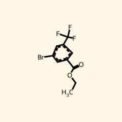 CCOC(=O)c1cc(Br)cc(C(F)(F)F)c1